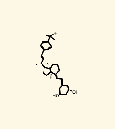 C[C@H](/C=C/c1ccc(C(C)(C)O)cc1)[C@H]1CC[C@H]2/C(=C/C=C3C[C@@H](O)C[C@H](O)C3)CCC[C@]12C